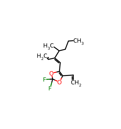 C=CC1=C(/C=C(\C=C)C(C)CCC)OC(F)(F)O1